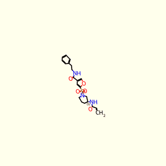 C=CC(=O)N[C@H]1CCCN(S(=O)(=O)c2cc(C(=O)NCCc3ccccc3)co2)C1